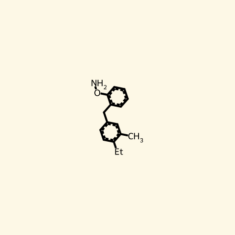 CCc1ccc(Cc2ccccc2ON)cc1C